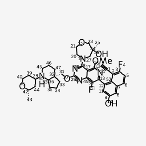 C#Cc1c(F)ccc2cc(O)cc(-c3nc(OC)c4c(N5CCOC[C@@](C)(O)C5)nc(OC[C@]56CCC[C@H]5N(C5CCO[C@@H](C)C5)CCC6)nc4c3F)c12